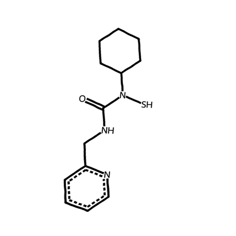 O=C(NCc1ccccn1)N(S)C1CCCCC1